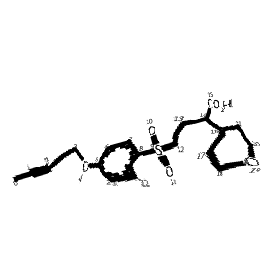 CC#CCOc1ccc(S(=O)(=O)CCC(C(=O)O)C2CCOCC2)cc1